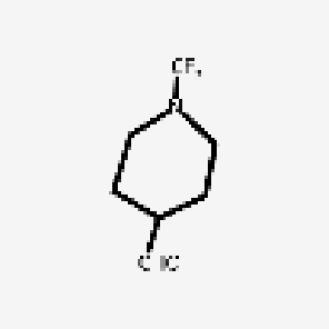 O=CC1CCN(C(F)(F)F)CC1